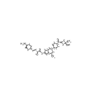 Nc1ccc(C=CC(=O)NCc2cc3cc(-c4ccc(C(=O)N5CC(O)(C(F)(F)F)C5)cn4)cc(C(F)(F)F)c3o2)cn1